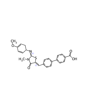 COC1=CCC(/N=C2/S/C(=C\c3ccc(-c4ccc(C(=O)O)cc4)cc3)C(=O)N2C)C=C1